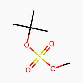 COS(=O)(=O)OC(C)(C)C